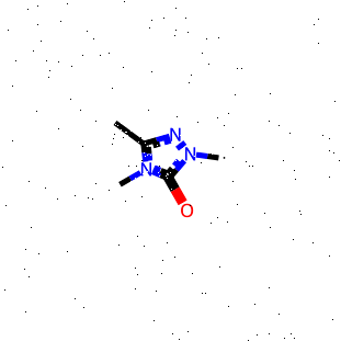 [CH2]n1nc(C)n(C)c1=O